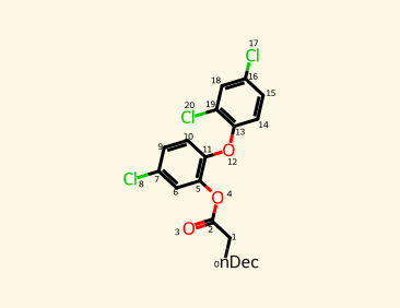 CCCCCCCCCCCC(=O)Oc1cc(Cl)ccc1Oc1ccc(Cl)cc1Cl